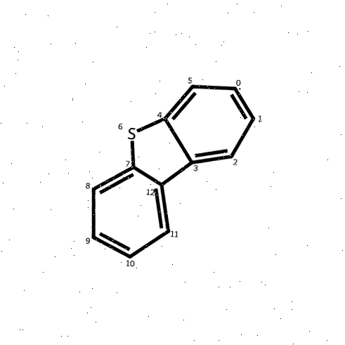 [c]1ccc2c(c1)sc1ccccc12